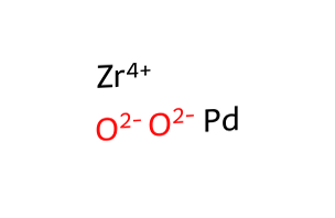 [O-2].[O-2].[Pd].[Zr+4]